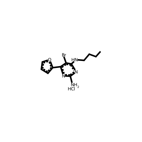 CCCCNc1nc(N)nc(-c2ccco2)c1Br.Cl